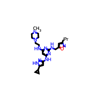 CC(C)c1cc(CNc2nc(NCCN3CCN(C)CC3)cc(Nc3cc(C4CC4)[nH]n3)n2)on1